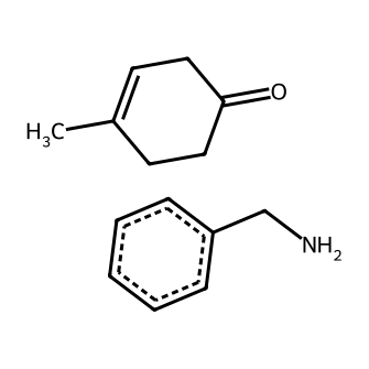 CC1=CCC(=O)CC1.NCc1ccccc1